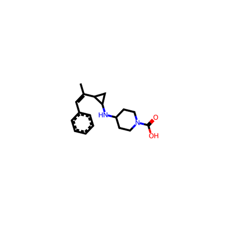 CC(=Cc1ccccc1)C1CC1NC1CCN(C(=O)O)CC1